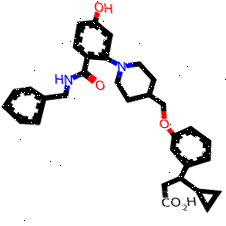 O=C(O)CC(c1cccc(OCC2CCN(c3cc(O)ccc3C(=O)NCc3ccccc3)CC2)c1)C1CC1